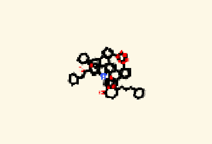 O=C1CCCC(CCCC2CCCCC2)c2cc3c4c(-c5c(-c6ccccc6)cccc5-c5ccccc5)cc(-c5c(-c6ccccc6)cccc5-c5ccccc5)c5c6cc(C7CCCCC7)c(C(=O)CC7CCCCC7)cc6n(c3cc21)c45